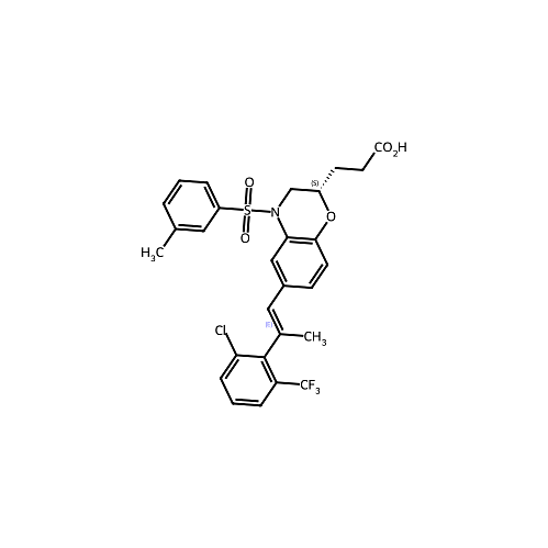 C/C(=C\c1ccc2c(c1)N(S(=O)(=O)c1cccc(C)c1)C[C@H](CCC(=O)O)O2)c1c(Cl)cccc1C(F)(F)F